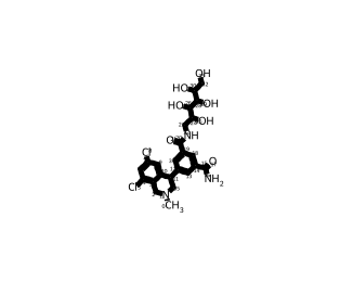 CN1Cc2c(Cl)cc(Cl)cc2C(c2cc(C(N)=O)cc(C(=O)NCC(O)C(O)C(O)C(O)CO)c2)C1